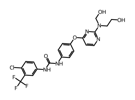 O=C(Nc1ccc(Oc2ccnc(N(CO)CCO)n2)cc1)Nc1ccc(Cl)c(C(F)(F)F)c1